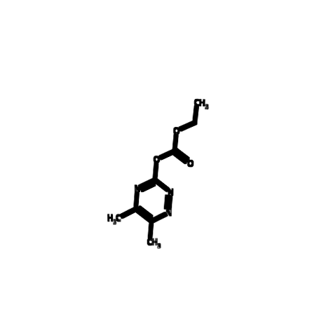 CCOC(=O)Oc1nnc(C)c(C)n1